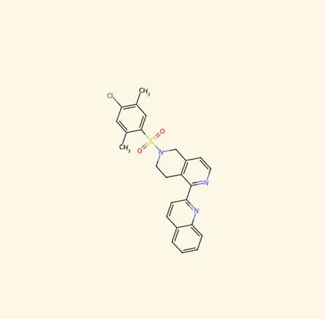 Cc1cc(S(=O)(=O)N2CCc3c(ccnc3-c3ccc4ccccc4n3)C2)c(C)cc1Cl